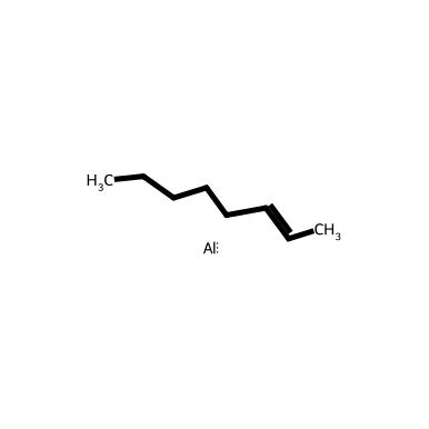 CC=CCCCCC.[Al]